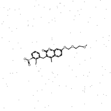 COCCOCOc1ccc2c(C)c(Cc3cccc([N+](=O)[O-])c3F)c(=O)oc2c1